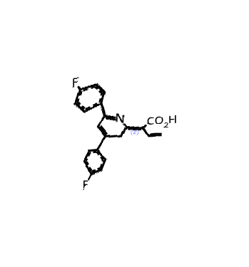 C=C/C(C(=O)O)=C1\CC(c2ccc(F)cc2)=CC(c2ccc(F)cc2)=N1